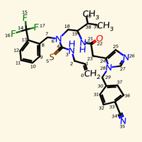 C=CCNC(=S)N(Cc1ccccc1C(F)(F)F)CC(NC(=O)Cc1cncn1Cc1ccc(C#N)cc1)C(C)C